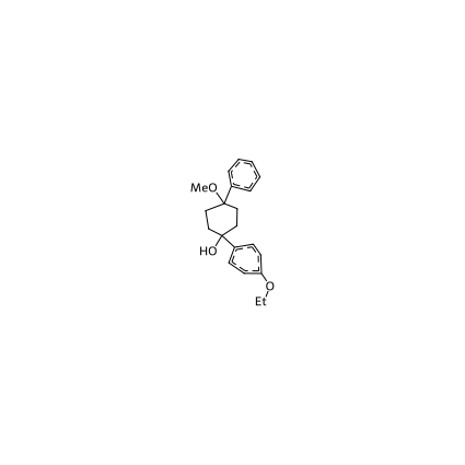 CCOc1ccc(C2(O)CCC(OC)(c3ccccc3)CC2)cc1